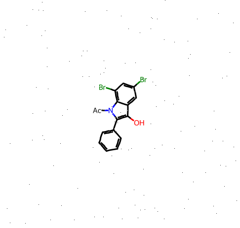 CC(=O)n1c(-c2ccccc2)c(O)c2cc(Br)cc(Br)c21